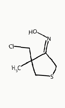 CC1(CCl)CSC/C1=N/O